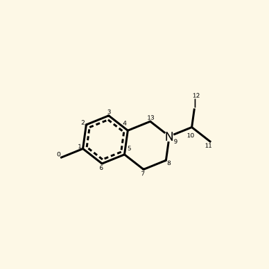 Cc1ccc2c(c1)CCN(C(C)I)C2